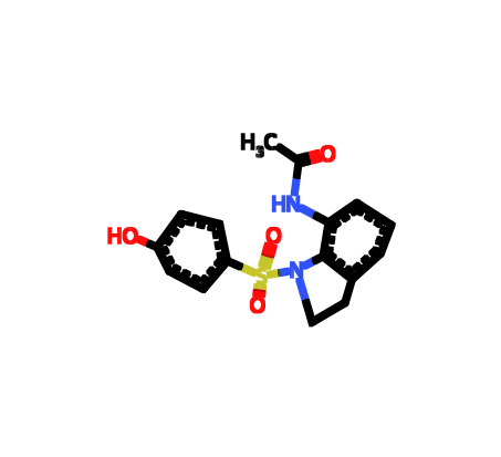 CC(=O)Nc1cccc2c1N(S(=O)(=O)c1ccc(O)cc1)CC2